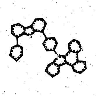 c1ccc(-c2cccc3c2sc2c(-c4ccc(-n5c6ccccc6c6c7ccccc7c7ncccc7c65)cc4)cccc23)cc1